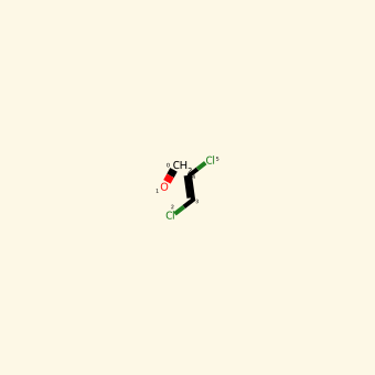 C=O.ClC=CCl